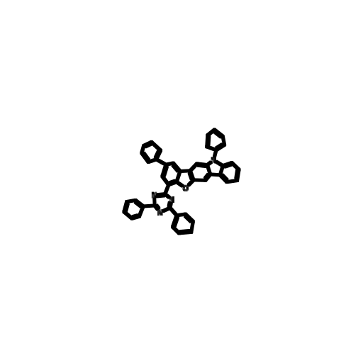 c1ccc(-c2cc(-c3nc(-c4ccccc4)nc(-c4ccccc4)n3)c3oc4cc5c6ccccc6n(-c6ccccc6)c5cc4c3c2)cc1